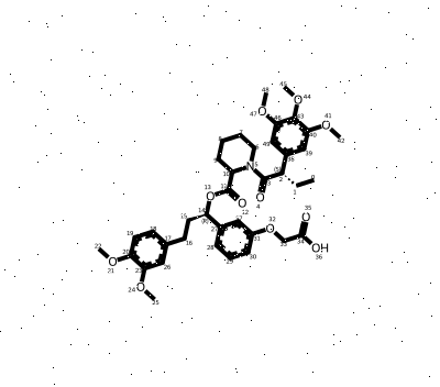 CC[C@H](C(=O)N1CCCCC1C(=O)O[C@H](CCc1ccc(OC)c(OC)c1)c1cccc(OCC(=O)O)c1)c1cc(OC)c(OC)c(OC)c1